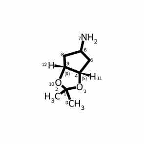 CC1(C)O[C@H]2CC(N)C[C@H]2O1